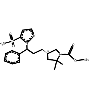 CC(C)(C)OC(=O)N1C[C@@H](CCC(c2ccccc2)n2nccc2S(N)(=O)=O)CC1(C)C